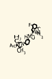 CC(=O)N1[C@H](C)CN(c2cccc(NC(=O)c3cc4c(F)ccc(C)c4[nH]3)c2)C[C@H]1C